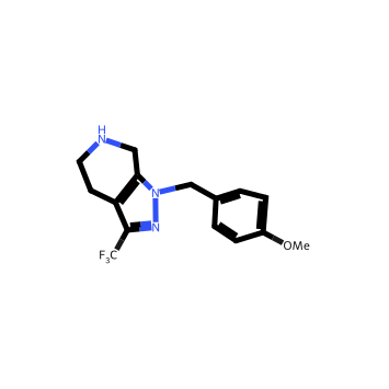 COc1ccc(Cn2nc(C(F)(F)F)c3c2CNCC3)cc1